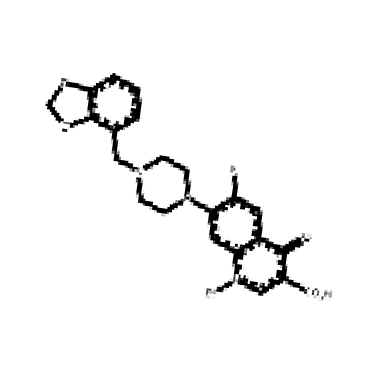 CCn1cc(C(=O)O)c(=O)c2cc(F)c(N3CCN(Cc4cccc5c4OCO5)CC3)cc21